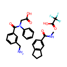 CNC(=O)c1ccc2c(c1)CCC2.NCc1cccc(C(=O)N(CC(=O)O)c2ccccc2)c1.O=C(O)C(F)(F)F